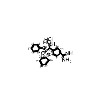 Cl.Cl.N=C(N)c1ccc(C(N)P(=O)(Oc2ccccc2)Oc2ccccc2)cc1